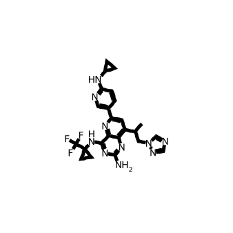 CC(Cn1cncn1)c1cc(-c2ccc(NC3CC3)nc2)nc2c(NC3(C(F)(F)F)CC3)nc(N)nc12